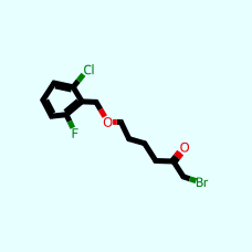 O=C(CBr)CCCCOCc1c(F)cccc1Cl